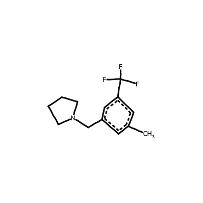 Cc1cc(CN2CCCC2)cc(C(F)(F)F)c1